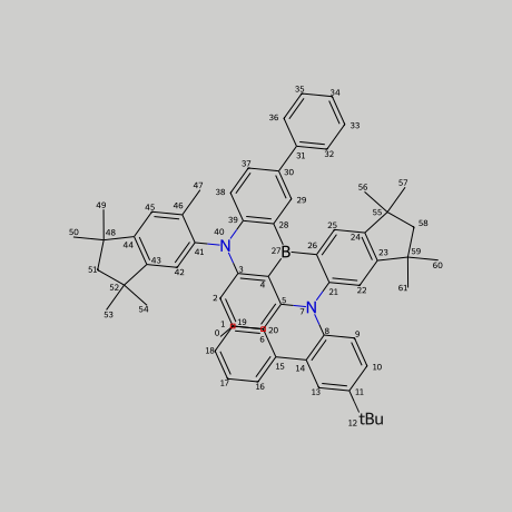 Cc1cc2c3c(c1)N(c1ccc(C(C)(C)C)cc1-c1ccccc1)c1cc4c(cc1B3c1cc(-c3ccccc3)ccc1N2c1cc2c(cc1C)C(C)(C)CC2(C)C)C(C)(C)CC4(C)C